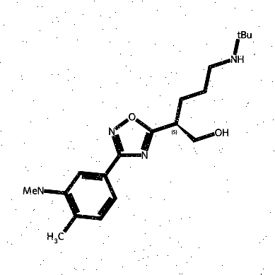 CNc1cc(-c2noc([C@H](CO)CCCNC(C)(C)C)n2)ccc1C